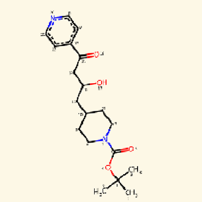 CC(C)(C)OC(=O)N1CCC(CC(O)CC(=O)c2ccncc2)CC1